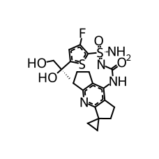 C[C@](O)(CO)c1cc(F)c([S@@](N)(=O)=NC(=O)Nc2c3c(nc4c2CCC42CC2)CCC3)s1